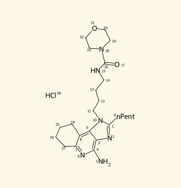 CCCCCc1nc2c(N)nc3c(c2n1CCCCNC(=O)N1CCOCC1)CCCC3.Cl